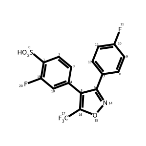 O=S(=O)(O)c1ccc(-c2c(-c3ccc(F)cc3)noc2C(F)(F)F)cc1F